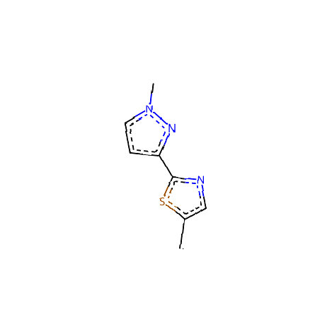 [CH2]c1cnc(-c2ccn(C)n2)s1